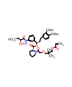 C=CC(=O)OCC(C)(C)COCC(=O)N1CCCC[C@H]1C(=O)O[C@H](CCc1ccc(OC)c(OC)c1)c1cccc(NC(=O)[C@@H](O)CC(=O)O)c1